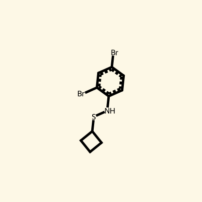 Brc1ccc(NSC2CCC2)c(Br)c1